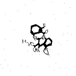 Cc1onc(-c2c(Cl)cccc2Cl)c1-c1nc2cccc(F)c2c(=O)o1